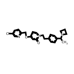 CC(c1ccc(CCn2ccc(OCc3ccc(Cl)cn3)cc2=O)cc1)N1CCC1